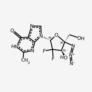 Cc1nc2c(ncn2[C@@H]2O[C@@](CO)(N=[N+]=[N-])[C@@H](O)C2(F)F)c(=O)[nH]1